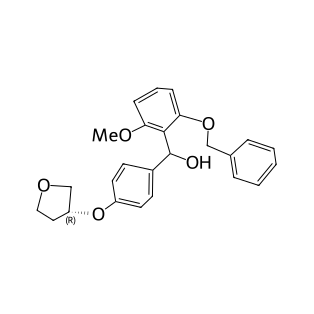 COc1cccc(OCc2ccccc2)c1C(O)c1ccc(O[C@@H]2CCOC2)cc1